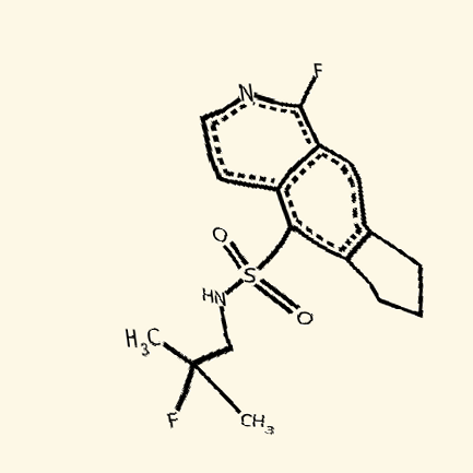 CC(C)(F)CNS(=O)(=O)c1c2c(cc3c(F)nccc13)CCC2